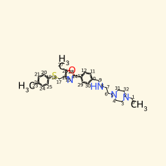 CCN1CCN(CCNCc2ccc(-c3nc(CSc4ccc(C)cc4)c(C)o3)cc2)CC1